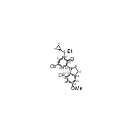 CC[C@@H](C1CC1)n1cc(Cl)nc(N2CCc3cc(OC)cc(Cl)c32)c1=O